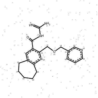 N=C(N)NC(=O)c1cc2c(nc1COCc1cccnc1)CCCCC2